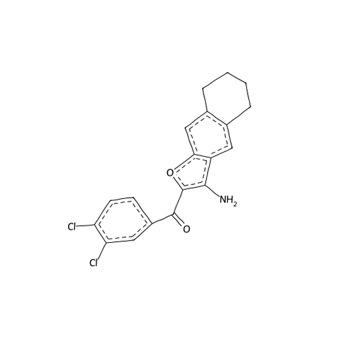 Nc1c(C(=O)c2ccc(Cl)c(Cl)c2)oc2cc3c(cc12)CCCC3